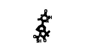 CC1SC(=O)NN=C1c1ccc2c(c1)C(C)(C)C(=O)N2C(=O)S